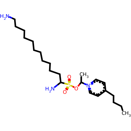 CCCCc1cc[n+](C(C)OS(=O)(=O)C(N)CCCCCCCCCCCN)cc1